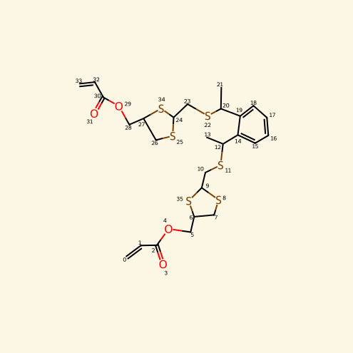 C=CC(=O)OCC1CSC(CSC(C)c2ccccc2C(C)SCC2SCC(COC(=O)C=C)S2)S1